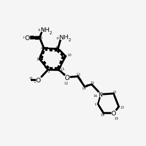 COc1cc(C(N)=O)c(N)cc1OCCCN1CCOCC1